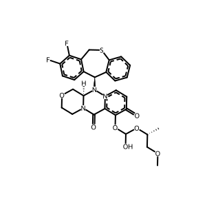 COC[C@@H](C)OC(O)Oc1c2n(ccc1=O)N([C@@H]1c3ccccc3SCc3c1ccc(F)c3F)[C@@H]1COCCN1C2=O